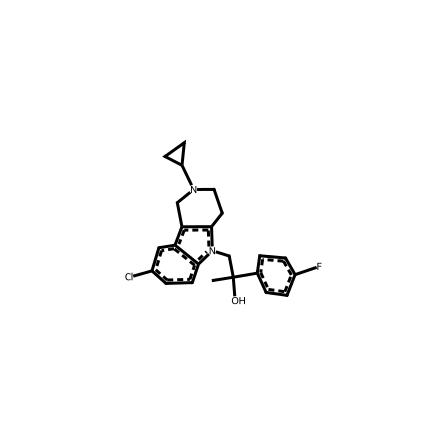 CC(O)(Cn1c2c(c3cc(Cl)ccc31)CN(C1CC1)CC2)c1ccc(F)cc1